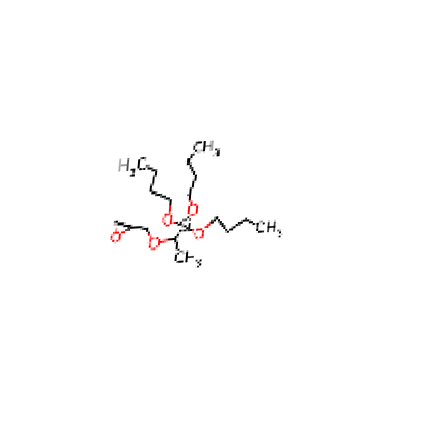 CCCCO[Si](OCCCC)(OCCCC)C(C)OCC1CO1